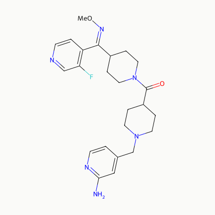 CO/N=C(\c1ccncc1F)C1CCN(C(=O)C2CCN(Cc3ccnc(N)c3)CC2)CC1